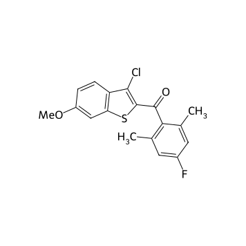 COc1ccc2c(Cl)c(C(=O)c3c(C)cc(F)cc3C)sc2c1